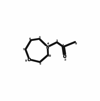 CC(=O)CN1CCCOCC1